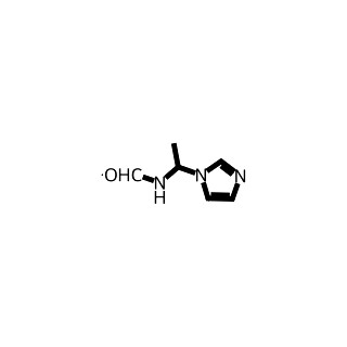 CC(N[C]=O)n1ccnc1